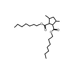 CCCCCCCOC(=O)C1C(C)CC(C)C1C(=O)OCCCCCCC